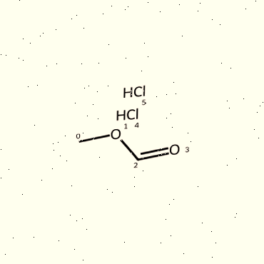 COC=O.Cl.Cl